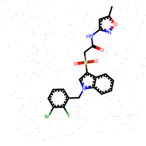 Cc1cc(NC(=O)CS(=O)(=O)c2cn(Cc3cccc(Br)c3F)c3ccccc23)no1